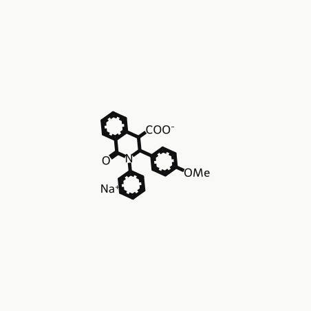 COc1ccc(C2C(C(=O)[O-])c3ccccc3C(=O)N2c2ccccc2)cc1.[Na+]